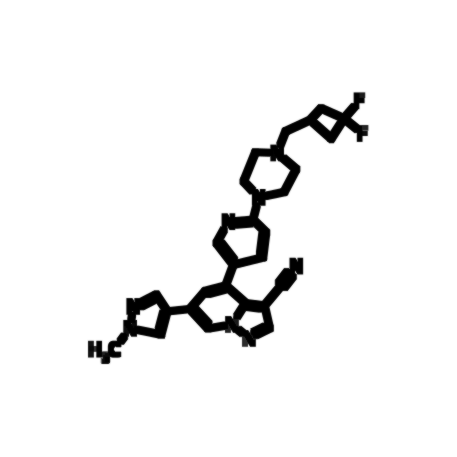 Cn1cc(-c2cc(-c3ccc(N4CCN(CC5CC(F)(F)C5)CC4)nc3)c3c(C#N)cnn3c2)cn1